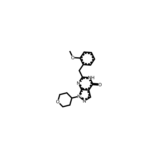 COc1ccccc1Cc1nc2c(cnn2C2CCOCC2)c(=O)[nH]1